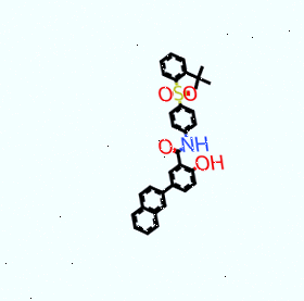 CC(C)(C)c1ccccc1S(=O)(=O)c1ccc(NC(=O)c2cc(-c3ccc4ccccc4c3)ccc2O)cc1